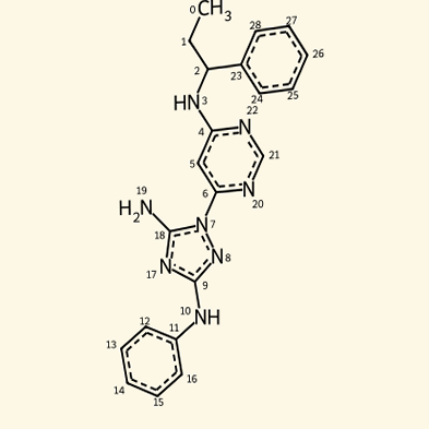 CCC(Nc1cc(-n2nc(Nc3ccccc3)nc2N)ncn1)c1ccccc1